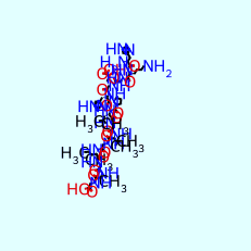 CC[C@H](C)[C@H](NC(=O)CNC(=O)[C@@H](NC(=O)CNC(=O)[C@H](CC(C)C)NC(=O)[C@@H]1CCCN1C(=O)[C@H](Cc1c[nH]cn1)NC(=O)[C@H](CCC(=O)O)NC(=O)CNC(=O)[C@H](CCCCN)NC(=O)[C@@H](N)Cc1c[nH]cn1)C(C)C)C(=O)NCC(=O)N[C@@H](C)C(=O)NCC(=O)O